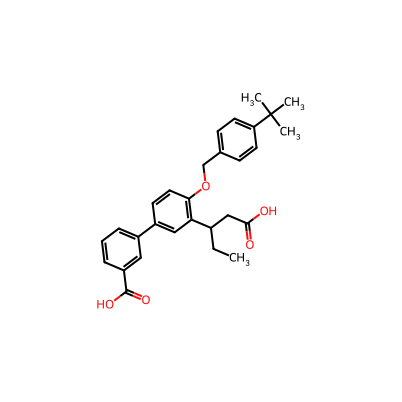 CCC(CC(=O)O)c1cc(-c2cccc(C(=O)O)c2)ccc1OCc1ccc(C(C)(C)C)cc1